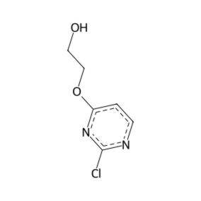 OCCOc1ccnc(Cl)n1